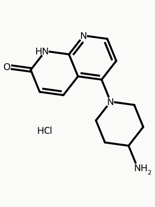 Cl.NC1CCN(c2ccnc3[nH]c(=O)ccc23)CC1